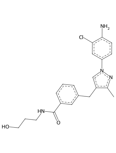 Cc1nn(-c2ccc(N)c(Cl)c2)cc1Cc1cccc(C(=O)NCCCO)c1